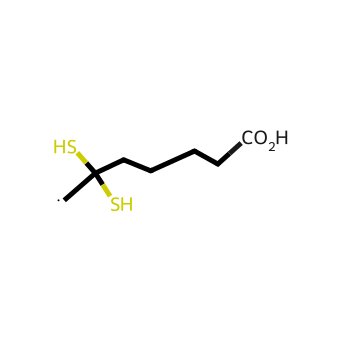 [CH2]C(S)(S)CCCCC(=O)O